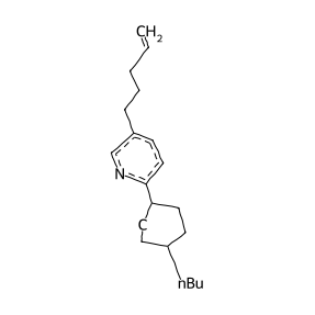 C=CCCCc1ccc(C2CCC(CCCC)CC2)nc1